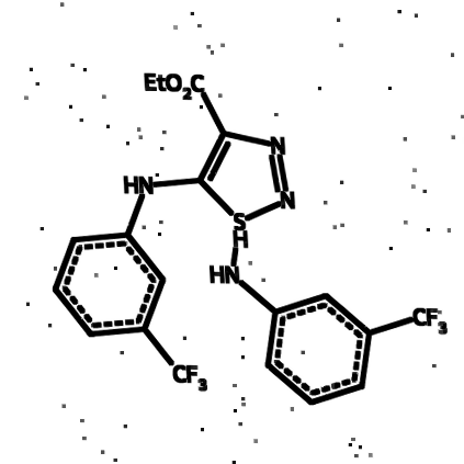 CCOC(=O)C1=C(Nc2cccc(C(F)(F)F)c2)[SH](Nc2cccc(C(F)(F)F)c2)N=N1